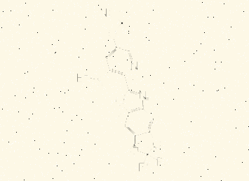 CCSc1cc(OC(C)(C)C#N)cnc1-c1nc2cc3c(cc2o1)OC(F)(F)O3